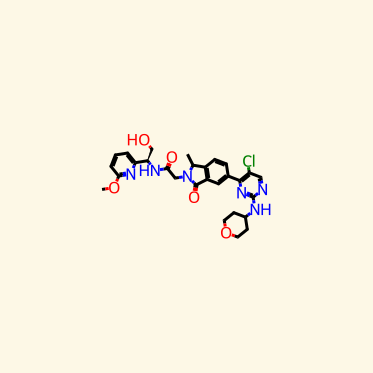 COc1cccc([C@@H](CO)NC(=O)CN2C(=O)c3cc(-c4nc(NC5CCOCC5)ncc4Cl)ccc3C2C)n1